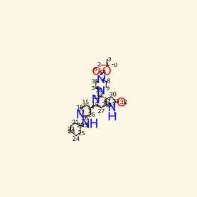 CC(C)(C)OC(=O)N1CCN(c2nc(-c3ccnc(NC4CCCCC4)c3)cc3c2CC(=O)N3)CC1